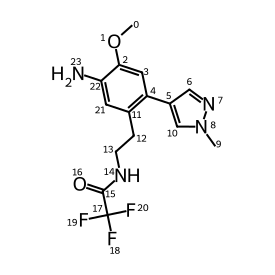 COc1cc(-c2cnn(C)c2)c(CCNC(=O)C(F)(F)F)cc1N